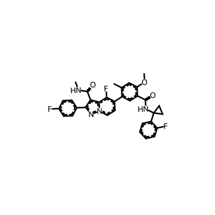 CNC(=O)c1c(-c2ccc(F)cc2)nn2ccc(-c3cc(C(=O)NC4(c5ccccc5F)CC4)c(OC)cc3C)c(F)c12